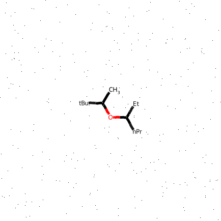 CCCC(CC)OC(C)C(C)(C)C